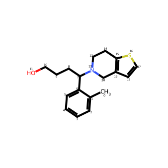 Cc1ccccc1C(CCCO)N1CCc2sccc2C1